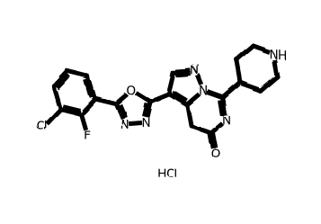 Cl.O=C1Cc2c(-c3nnc(-c4cccc(Cl)c4F)o3)cnn2C(C2CCNCC2)=N1